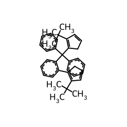 CC(C)(C)C1=C(c2ccccc2C(C2=C(C(C)(C)C)C=CC2)(c2ccccc2)c2ccccc2)CC=C1